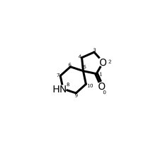 O=C1OCCC12CCNCC2